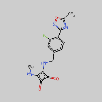 CC(C)(C)Nc1c(NCc2ccc(-c3noc(C(F)(F)F)n3)c(F)c2)c(=O)c1=O